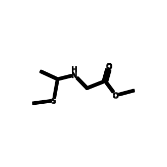 COC(=O)CNC(C)SC